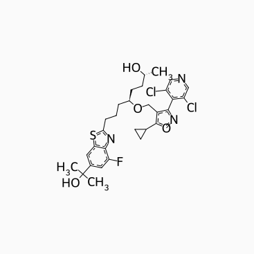 C[C@@H](O)CC[C@H](CCCc1nc2c(F)cc(C(C)(C)O)cc2s1)OCc1c(-c2c(Cl)cncc2Cl)noc1C1CC1